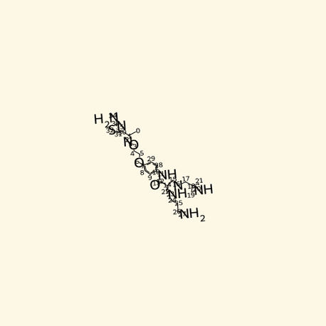 C/C(=N\OCCOc1ccc(NC(=O)C(/C=N/CC2CNC2)=C/NCCCN)cc1)c1csc(N)n1